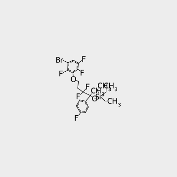 CC[Si](CC)(CC)OC(C)(c1ccc(F)cc1)C(F)(F)CCOc1c(F)c(F)cc(Br)c1F